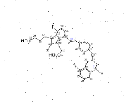 C/C=C/C(Oc1ccc(/C=C/c2ccc(F)c3c(CCCC(=O)O)c(C)n(CC(=O)O)c23)cc1)Oc1ccccc1F